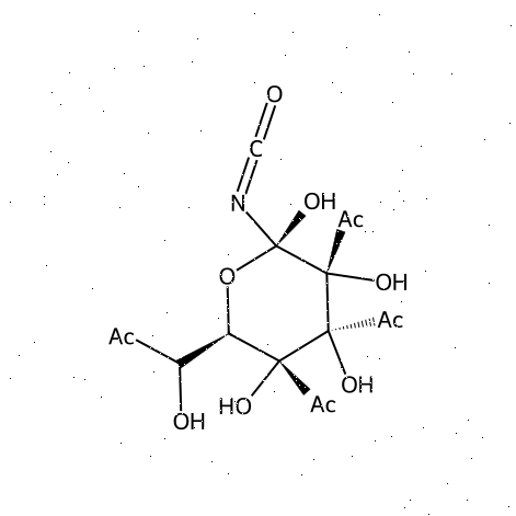 CC(=O)C(O)[C@H]1O[C@](O)(N=C=O)[C@@](O)(C(C)=O)[C@](O)(C(C)=O)[C@@]1(O)C(C)=O